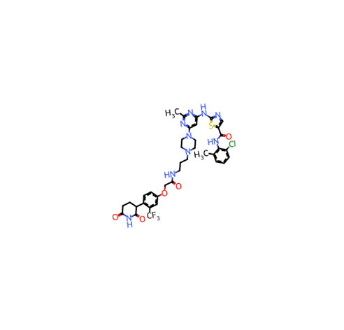 Cc1nc(Nc2ncc(C(=O)Nc3c(C)cccc3Cl)s2)cc(N2CCN(CCCNC(=O)COc3ccc(C4CCC(=O)NC4=O)c(C(F)(F)F)c3)CC2)n1